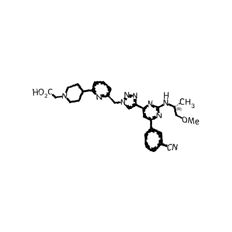 COC[C@@H](C)Nc1nc(-c2cccc(C#N)c2)cc(-c2cn(Cc3cccc(C4CCN(CC(=O)O)CC4)n3)nn2)n1